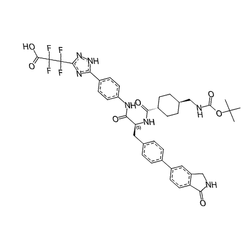 CC(C)(C)OC(=O)NC[C@H]1CC[C@H](C(=O)N[C@@H](Cc2ccc(-c3ccc4c(c3)CNC4=O)cc2)C(=O)Nc2ccc(-c3nc(C(F)(F)C(F)(F)C(=O)O)n[nH]3)cc2)CC1